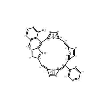 Clc1cccc(Cl)c1-c1c2nc(cc3ccc([nH]3)c(-c3ccccc3)c3nc(cc4ccc1[nH]4)C=C3)C=C2